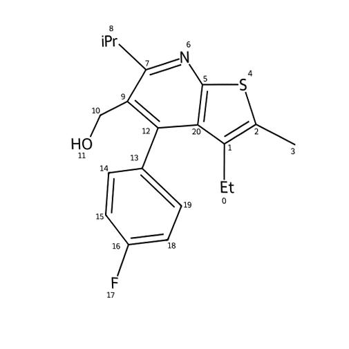 CCc1c(C)sc2nc(C(C)C)c(CO)c(-c3ccc(F)cc3)c12